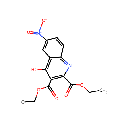 CCOC(=O)c1nc2ccc([N+](=O)[O-])cc2c(O)c1C(=O)OCC